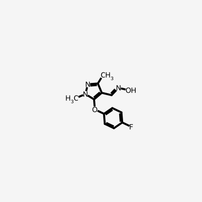 Cc1nn(C)c(Oc2ccc(F)cc2)c1/C=N/O